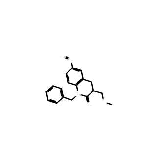 COCC1Cc2cc([N+](=O)[O-])ccc2N(Cc2ccccc2)C1=O